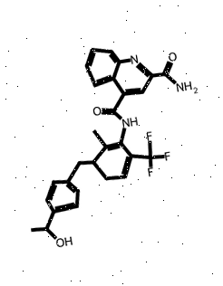 CC1=C(NC(=O)c2cc(C(N)=O)nc3ccccc23)C(C(F)(F)F)=CCC1Cc1ccc(C(C)O)cc1